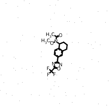 CON(C(C)=O)C1CCCc2cc(-c3noc(C(F)(F)F)n3)ccc21